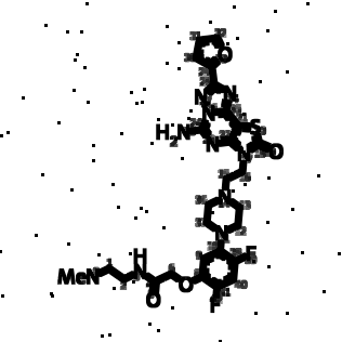 CNCCNC(=O)COc1cc(N2CCN(CCn3c(=O)sc4c3nc(N)n3nc(-c5ccco5)nc43)CC2)c(F)cc1F